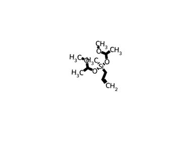 C=CC[Si](C)(OC(C)OC)OC(C)OC